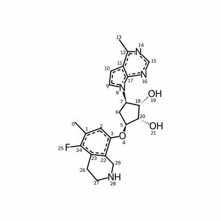 Cc1cc(O[C@H]2C[C@@H](n3ccc4c(C)ncnc43)[C@H](O)[C@@H]2O)c2c(c1F)CCNC2